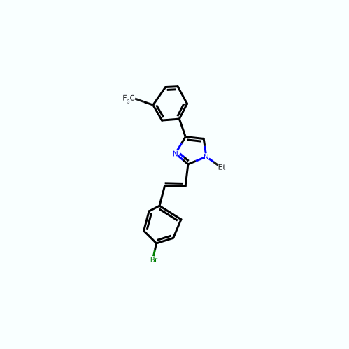 CCn1cc(-c2cccc(C(F)(F)F)c2)nc1C=Cc1ccc(Br)cc1